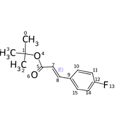 CC(C)(C)OC(=O)/C=C/c1ccc(F)cc1